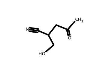 CC(=O)CC(C#N)CO